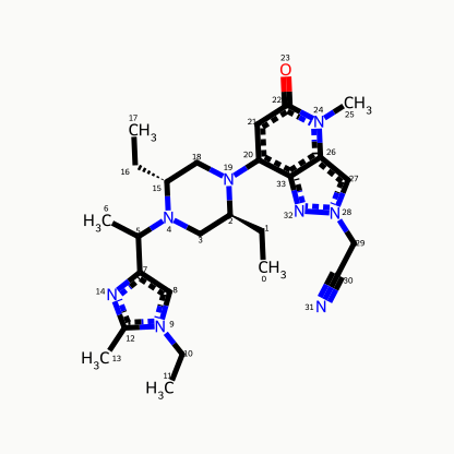 CC[C@H]1CN(C(C)c2cn(CC)c(C)n2)[C@H](CC)CN1c1cc(=O)n(C)c2cn(CC#N)nc12